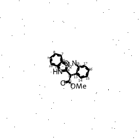 COC(=O)C(c1nc2ccccc2[nH]1)c1ccccc1[N+](=O)[O-]